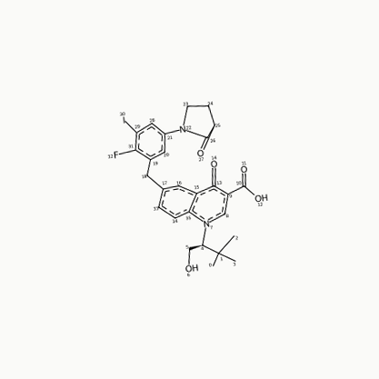 CC(C)(C)[C@@H](CO)n1cc(C(=O)O)c(=O)c2cc(Cc3cc(N4CCCC4=O)cc(I)c3F)ccc21